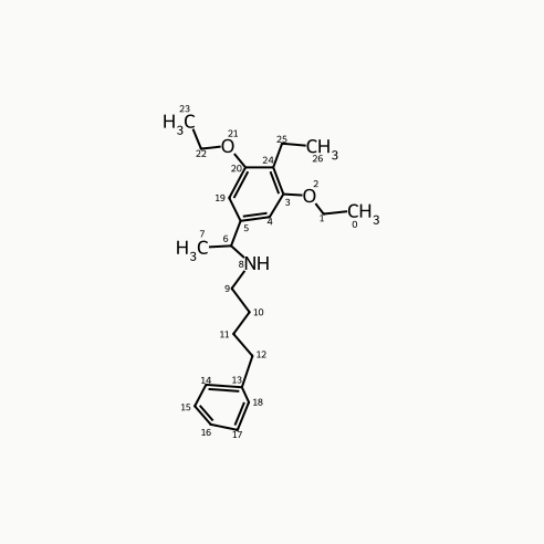 CCOc1cc(C(C)NCCCCc2ccccc2)cc(OCC)c1CC